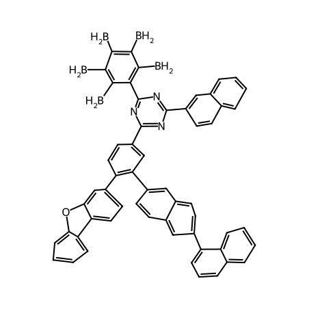 Bc1c(B)c(B)c(-c2nc(-c3ccc(-c4ccc5c(c4)oc4ccccc45)c(-c4ccc5cc(-c6cccc7ccccc67)ccc5c4)c3)nc(-c3ccc4ccccc4c3)n2)c(B)c1B